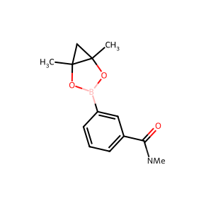 CNC(=O)c1cccc(B2OC3(C)CC3(C)O2)c1